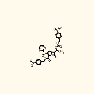 CC(OC(=O)OCc1ccc([N+](=O)[O-])cc1)C1C(=O)N2C(C(=O)OCc3ccc([N+](=O)[O-])cc3)=C([S+]([O-])c3ncccn3)CC12